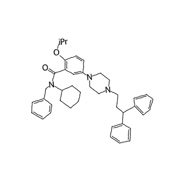 CC(C)Oc1ccc(N2CCN(CCC(c3ccccc3)c3ccccc3)CC2)cc1C(=O)N(Cc1ccccc1)C1CCCCC1